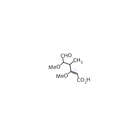 CO/C(=C\C(=O)O)C(C)C(C=O)OC